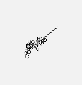 CCCCCCCCCCCC(=O)Nc1ncnn2c([C@@H]3O[C@](C#N)(COCN[C@@H](C)C(=O)OC4CCCCC4)[C@@H](O)[C@H]3O)ccc12